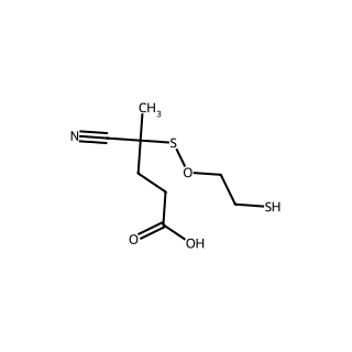 CC(C#N)(CCC(=O)O)SOCCS